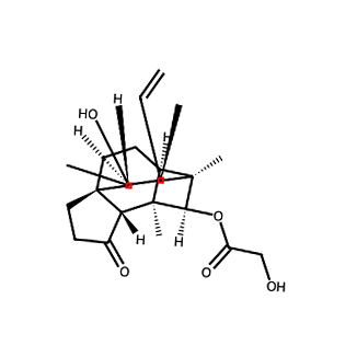 C=C[C@]1(C)C[C@]2(C)[C@@H](OC(=O)CO)[C@@]3(C)[C@@H]4C(=O)CC[C@@]4(CC[C@@H]23)[C@@H](C)[C@@H]1O